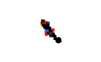 CCOP(=O)(OCC)C(F)(F)c1ccc(CC(NC(=O)OC(C)(C)C)C(=O)NCCCCc2ccccc2)cc1